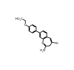 CC(=O)C1=Cc2ccc(-c3ccc(OCC(=O)O)cc3)cc2N=C(N)C1